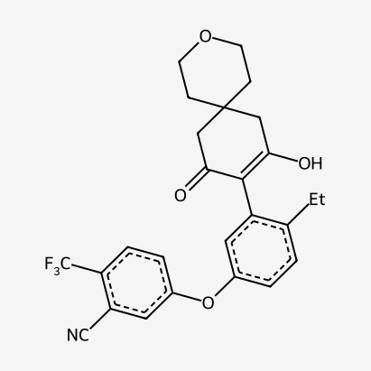 CCc1ccc(Oc2ccc(C(F)(F)F)c(C#N)c2)cc1C1=C(O)CC2(CCOCC2)CC1=O